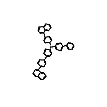 c1ccc(-c2ccc(N(c3ccc(-c4ccc(-c5cccc6ccccc56)cc4)cc3)c3ccc(-c4cccc5ccccc45)cc3)cc2)cc1